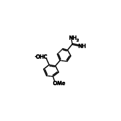 COc1ccc([C]=O)c(-c2ccc(C(=N)N)cc2)c1